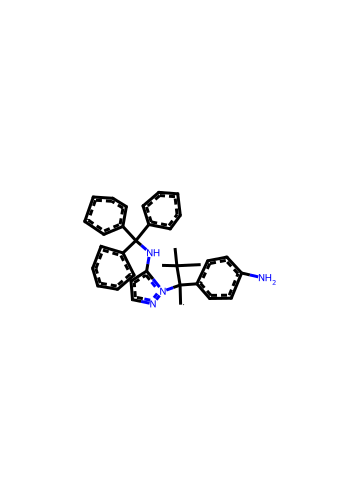 [CH2]C(c1ccc(N)cc1)(n1nccc1NC(c1ccccc1)(c1ccccc1)c1ccccc1)C(C)(C)C